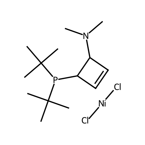 CN(C)C1C=CC1P(C(C)(C)C)C(C)(C)C.[Cl][Ni][Cl]